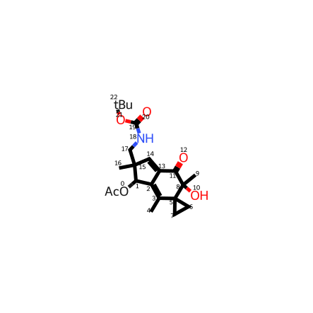 CC(=O)OC1C2=C(C)C3(CC3)C(C)(O)C(=O)C2=CC1(C)CNC(=O)OC(C)(C)C